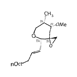 CCCCCCCCCC=C[C@@H]1OC[C@H](C)[C@H](OC)[C@@]12CO2